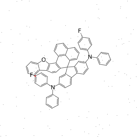 Fc1ccc(N(c2ccccc2)c2ccc3c(c2)C2(c4cc(N(c5ccccc5)c5ccc(F)cc5)ccc4-3)c3ccc4c(oc5ccccc54)c3-c3cccc4cccc2c34)cc1